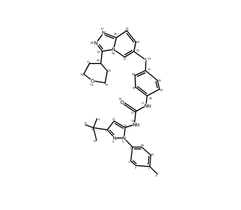 Cc1ccc(-n2nc(C(C)(C)C)cc2NC(=O)Nc2ccc(Sc3ccc4nnc(C5CCOCC5)n4c3)cc2)cc1